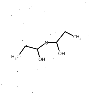 CCC(O)[N]C(O)CC